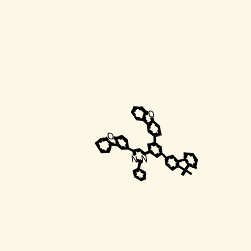 CC1(C)c2ccccc2-c2cc(-c3cc(-c4ccc5oc6ccccc6c5c4)cc(-c4cc(-c5ccc6oc7ccccc7c6c5)nc(-c5ccccc5)n4)c3)ccc21